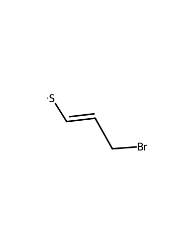 [S]C=CCBr